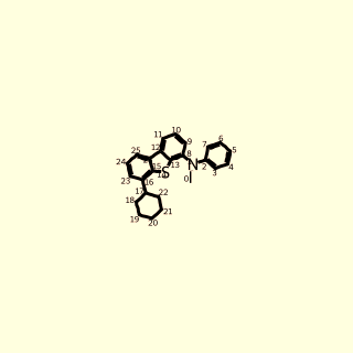 IN(c1ccccc1)c1cccc2c1sc1c(C3CCCCC3)cccc12